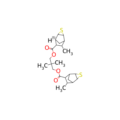 CC1C2CC(C3SC23)C1C(=O)OCC(C)(C)COC(=O)C1C(C)C2C[C@@H]1C1SC21